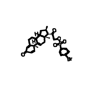 C[C@@H]1C[C@H]2[C@@H]3CCC4=CC(=O)C=C[C@]4(C)C3=CC[C@]2(C)[C@H]1C(=O)COS(=O)(=O)c1ccc(Br)cc1